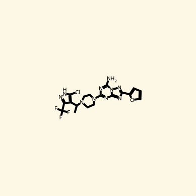 CC(c1c(C(F)(F)F)n[nH]c1Cl)N1CCN(c2nc(N)n3nc(-c4ccco4)nc3n2)CC1